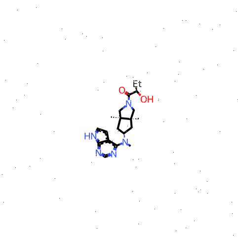 CC[C@@H](O)C(=O)N1C[C@]2(C)C[C@@H](N(C)c3ncnc4[nH]ccc34)C[C@]2(C)C1